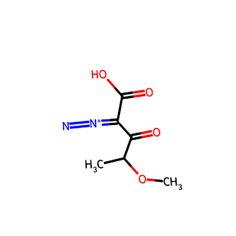 COC(C)C(=O)C(=[N+]=[N-])C(=O)O